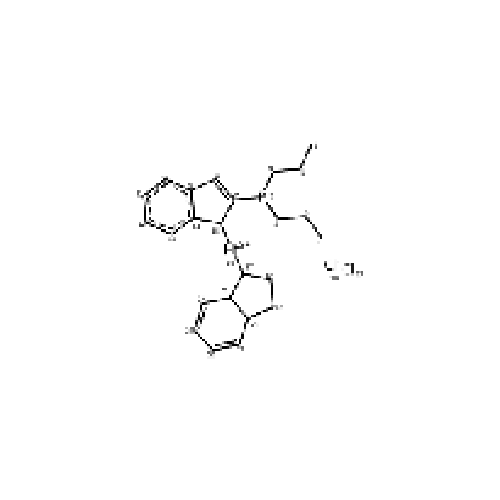 CCCP(CCC)C1=Cc2ccccc2[CH]1[Hf+2][CH]1CCC2C=CC=CC21.[Cl-].[Cl-]